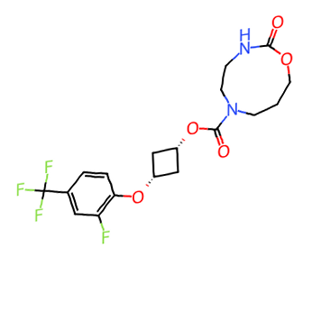 O=C1NCCN(C(=O)O[C@H]2C[C@@H](Oc3ccc(C(F)(F)F)cc3F)C2)CCCO1